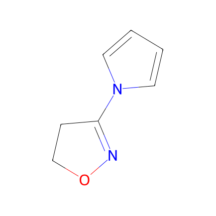 c1ccn(C2=NOCC2)c1